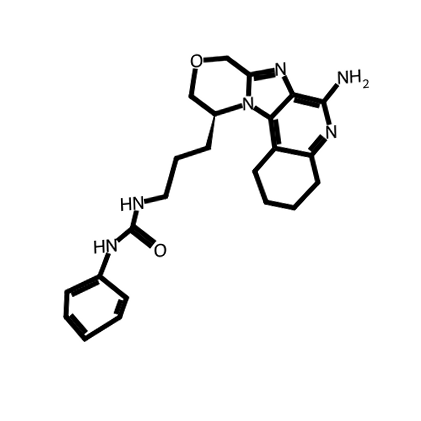 Nc1nc2c(c3c1nc1n3[C@@H](CCCNC(=O)Nc3ccccc3)COC1)CCCC2